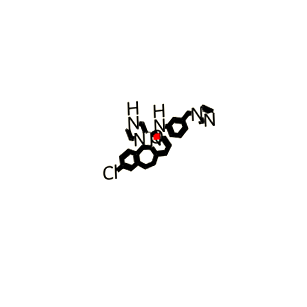 O=C(Nc1cccc(Cn2ccnc2)c1)[C@H]1CNCCN1[C@@H]1c2ccc(Cl)cc2CCc2cccnc21